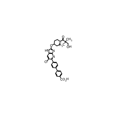 CC(C)(CO)C(=O)N1CCC(Oc2nc3nc(-c4ccc(-c5ccc(C(=O)O)cc5)cc4)c(Cl)cc3[nH]2)CC1